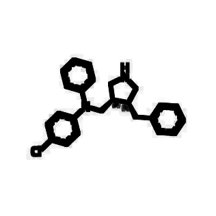 Clc1ccc(N(C[C@H]2CNC[C@H]2Cc2ccccc2)c2ccccc2)cc1